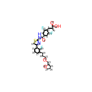 CC(=Cc1c(F)cc(C(=O)Nc2nc(-c3cccc(CCCOCC4CCCO4)c3F)cs2)cc1F)C(=O)O